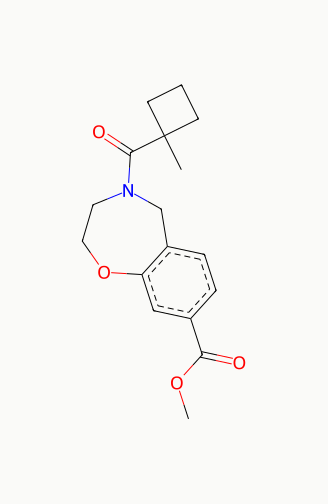 COC(=O)c1ccc2c(c1)OCCN(C(=O)C1(C)CCC1)C2